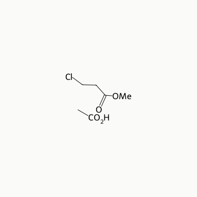 CC(=O)O.COC(=O)CCCl